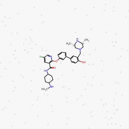 C[C@@H]1CN(Cc2cc(-c3cccc(Oc4ncc(F)cc4C(=O)NC4CCC(NC(=O)O)CC4)c3)ccc2O)C[C@H](C)N1